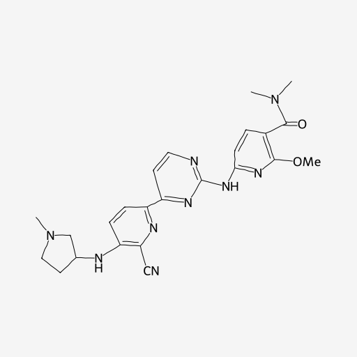 COc1nc(Nc2nccc(-c3ccc(NC4CCN(C)C4)c(C#N)n3)n2)ccc1C(=O)N(C)C